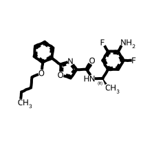 CCCCOc1ccccc1-c1nc(C(=O)N[C@H](C)c2cc(F)c(N)c(F)c2)co1